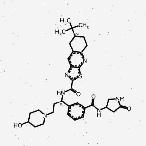 CC(C)(C)[C@H]1CCc2nc3sc(C(=O)N[C@H](CCN4CCC(O)CC4)c4cccc(C(=O)NC5CNC(=O)C5)c4)nc3cc2C1